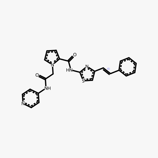 O=C(Cn1cccc1C(=O)Nc1nc(/C=C/c2ccccc2)cs1)Nc1ccncc1